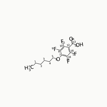 CCCCCCOc1c(F)c(F)c(C(=O)O)c(F)c1F